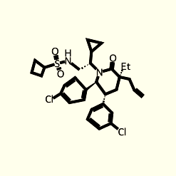 C=CC[C@@]1(CC)C[C@H](c2cccc(Cl)c2)[C@@H](c2ccc(Cl)cc2)N([C@H](CNS(=O)(=O)C2CCC2)C2CC2)C1=O